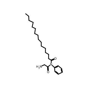 CCCCCCCCCCCCCCCC(=O)N(C(=O)CN)c1ccccc1